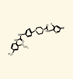 COc1cc(C)ccc1NC(=O)Nc1ccc(N2CCN(C(=O)Nc3ncc(F)cc3F)CC2)cc1